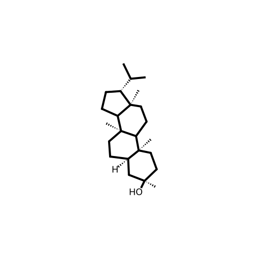 CC(C)[C@H]1CCC2[C@]3(C)CC[C@@H]4C[C@](C)(O)CC[C@]4(C)C3CC[C@@]21C